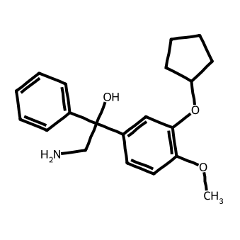 COc1ccc(C(O)(CN)c2ccccc2)cc1OC1CCCC1